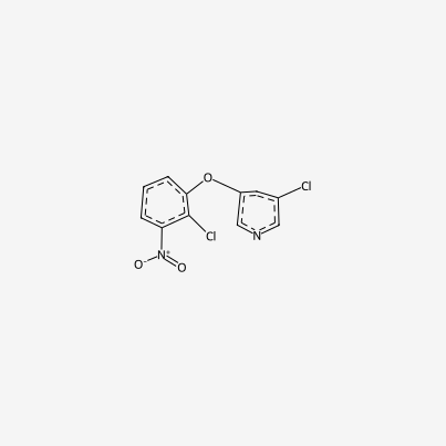 O=[N+]([O-])c1cccc(Oc2cncc(Cl)c2)c1Cl